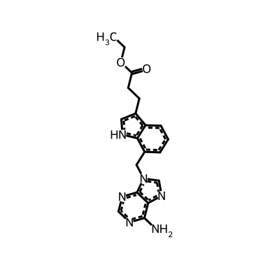 CCOC(=O)CCc1c[nH]c2c(Cn3cnc4c(N)ncnc43)cccc12